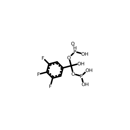 O=[PH](O)OC(O)(OP(O)O)c1cc(F)c(F)c(F)c1